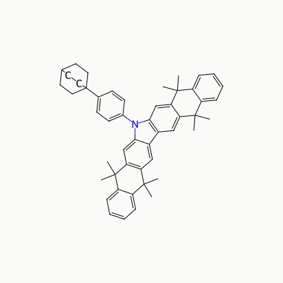 CC1(C)c2ccccc2C(C)(C)c2cc3c(cc21)c1cc2c(cc1n3-c1ccc(C34CCC(CC3)CC4)cc1)C(C)(C)c1ccccc1C2(C)C